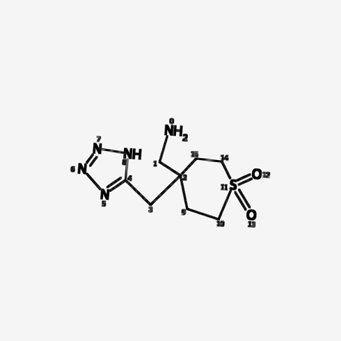 NCC1(Cc2nnn[nH]2)CCS(=O)(=O)CC1